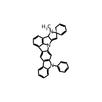 CN1C2C(=C[C@@]13C=CC=CC3)n1c3cc4c(cc3c3cccc2c31)c1ccccc1n4-c1ccccc1